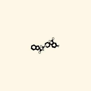 O=C1OC2(CCN(C3=NC(=O)C4(CC5=C(CCC=C5)C4)O3)CC2)c2ccc(F)cc21